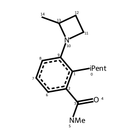 CCCC(C)c1c(C(=O)NC)cccc1N1CCC1C